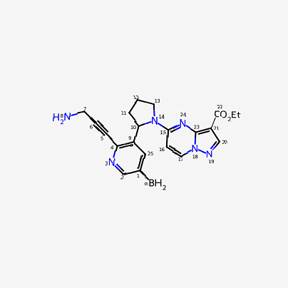 Bc1cnc(C#CCN)c(C2CCCN2c2ccn3ncc(C(=O)OCC)c3n2)c1